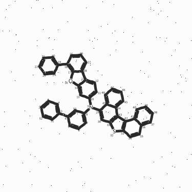 c1ccc(-c2cccc(N(c3ccc4c(c3)oc3c(-c5ccccc5)cccc34)c3cc4sc5ccc6ccccc6c5c4c4ccccc34)c2)cc1